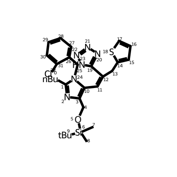 CCCCc1nc(CO[Si](C)(C)C(C)(C)C)c(/C=C(/Cc2cccs2)c2nnn[nH]2)n1Cc1ccccc1Cl